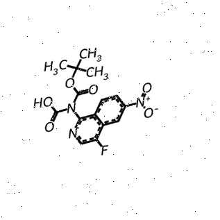 CC(C)(C)OC(=O)N(C(=O)O)c1ncc(F)c2cc([N+](=O)[O-])ccc12